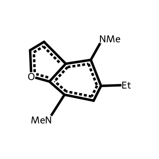 CCc1cc(NC)c2occc2c1NC